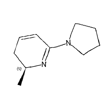 C[C@H]1CC=CC(N2CCCC2)=N1